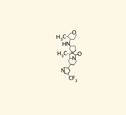 CC1COCCC1NC1CC[C@@]2(C1)C(=O)N1CC=C(c3cncc(C(F)(F)F)c3)CC1C2C